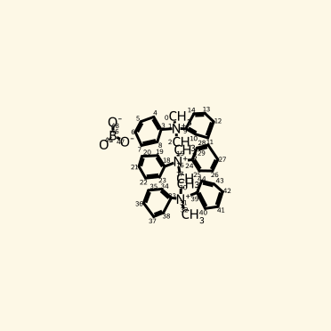 C[N+](C)(c1ccccc1)c1ccccc1.C[N+](C)(c1ccccc1)c1ccccc1.C[N+](C)(c1ccccc1)c1ccccc1.[O-]B([O-])[O-]